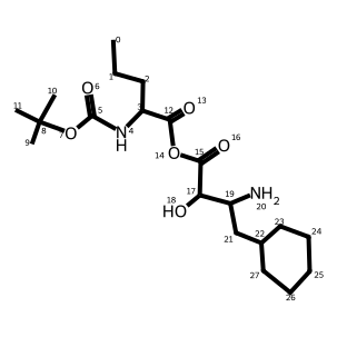 CCCC(NC(=O)OC(C)(C)C)C(=O)OC(=O)C(O)C(N)CC1CCCCC1